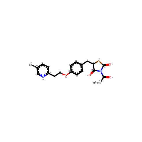 CCCCCC(=O)N1C(=O)SC(Cc2ccc(OCCc3ccc(CC)cn3)cc2)C1=O